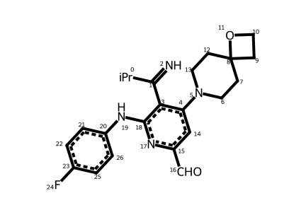 CC(C)C(=N)c1c(N2CCC3(CCO3)CC2)cc(C=O)nc1Nc1ccc(F)cc1